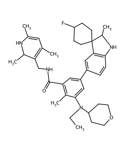 CCN(c1cc(-c2ccc3c(c2)C2(CCC(F)CC2)C(C)N3)cc(C(=O)NCC2=C(C)C=C(C)NC2C)c1C)C1CCOCC1